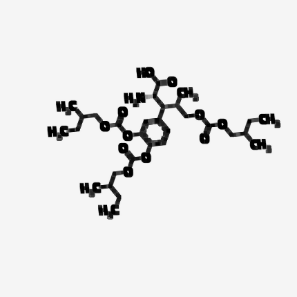 CCC(C)COC(=O)OCC(C)C(c1ccc(OC(=O)OCC(C)CC)c(OC(=O)OCC(C)CC)c1)[C@H](N)C(=O)O